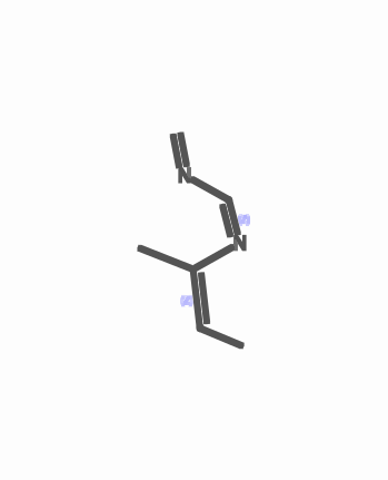 C=N/C=N\C(C)=C/C